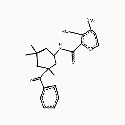 COc1ccnc(C(=O)NC2CC(C)(C)CC(C)(C(=O)c3ccccc3)C2)c1O